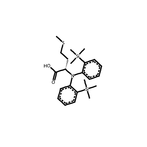 CSCC[C@@H](C(=O)O)N(c1ccccc1[Si](C)(C)C)c1ccccc1[Si](C)(C)C